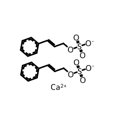 O=S(=O)([O-])OCC=Cc1ccccc1.O=S(=O)([O-])OCC=Cc1ccccc1.[Ca+2]